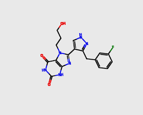 O=c1[nH]c(=O)c2c(nc(-c3c[nH]nc3Cc3cccc(F)c3)n2CCCO)[nH]1